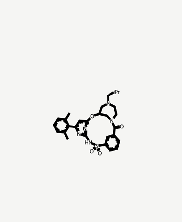 Cc1cccc(C)c1-c1cc2nc(n1)NS(=O)(=O)c1cccc(c1)C(=O)N1CCN(CC(C)C)CC(C1)O2